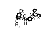 CCC1CC2CC(C)CC(NC(=O)Nc3ccc4nc(-c5cccs5)c(-c5cccs5)nc4c3)(C1)C2